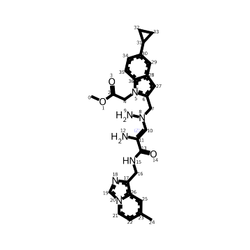 COC(=O)Cn1c(CN(N)/C=C(\N)C(=O)NCc2ncn3ccc(C)cc23)cc2cc(C3CC3)ccc21